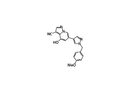 COc1ccc(Cn2cc(-c3cc(O)c4c(C#N)cnn4c3)cn2)cc1